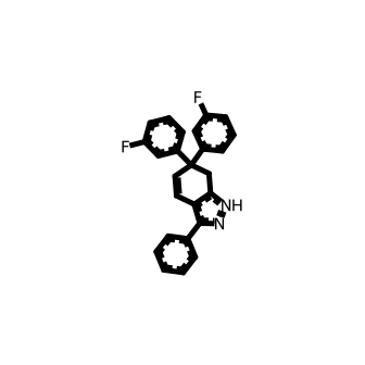 Fc1cccc(C2(c3cccc(F)c3)C=Cc3c(-c4ccccc4)n[nH]c3C2)c1